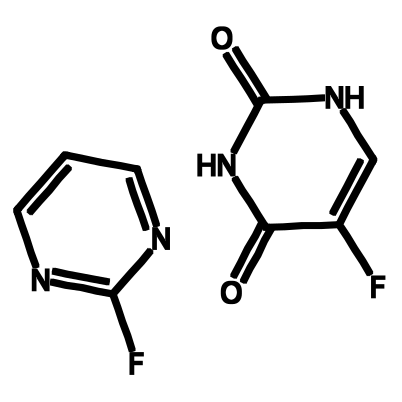 Fc1ncccn1.O=c1[nH]cc(F)c(=O)[nH]1